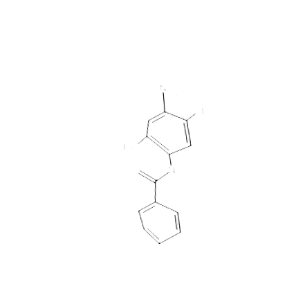 O=C(Nc1cc(Cl)c([N+](=O)[O-])cc1O)c1ccccc1